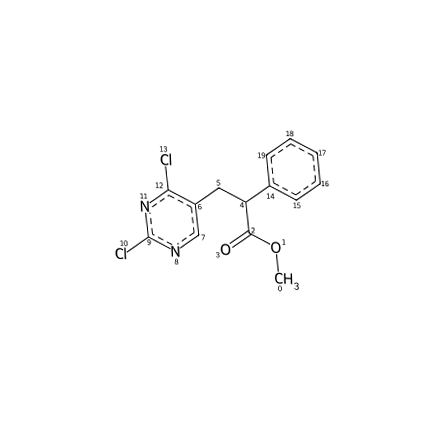 COC(=O)C(Cc1cnc(Cl)nc1Cl)c1ccccc1